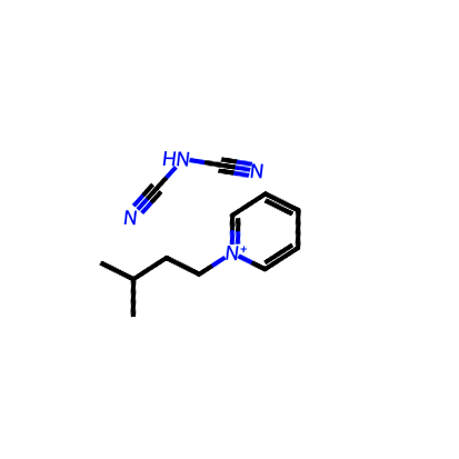 CC(C)CC[n+]1ccccc1.N#CNC#N